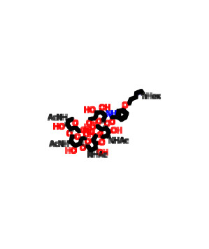 CCCCCC/C=C\CCCOc1cccc(C(=O)NC2C(O)[C@H](O)C(CO)O[C@H]2O[C@@H]2C(CO)OC(OC3C(CO)O[C@@H](O[C@@H]4C(CO)O[C@@H](O[C@H]5C(CO)OC[C@H](NC(C)=O)[C@H]5O)C(NC(C)=O)C4O)[C@@H](NC(C)=O)[C@H]3O)C(NC(C)=O)C2O)c1